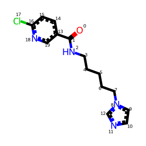 O=C(NCCCCCn1ccnc1)c1ccc(Cl)nc1